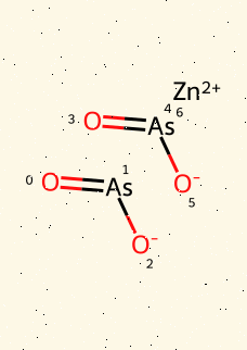 O=[As][O-].O=[As][O-].[Zn+2]